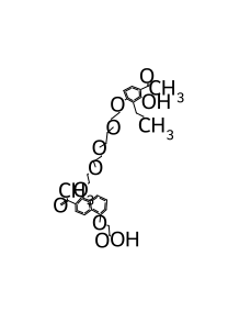 CCCc1c(OCCOCCOCCOCCOc2c(C(C)=O)ccc3c(OCC(=O)O)cccc23)ccc(C(C)=O)c1O